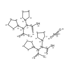 S=C([S-])N(N1CCCC1)N(C(=S)S)N1CCCC1.S=C([S-])N(N1CCCC1)N(C(=S)S)N1CCCC1.[O]=[Mo+2]=[O]